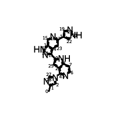 Cc1cn(-c2nccc3[nH]c(-c4n[nH]c5cnc(-c6cn[nH]c6)cc45)cc23)cn1